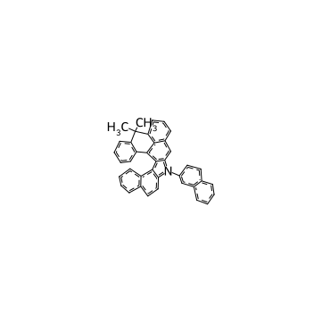 CC1(C)c2ccccc2-c2c3c1cccc3cc1c2c2c3ccccc3ccc2n1-c1ccc2ccccc2c1